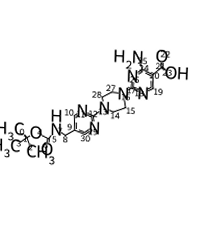 CC(C)(C)OC(=O)NCc1cnc(N2CCN(c3ncc(C(=O)O)c(N)n3)CC2)nc1